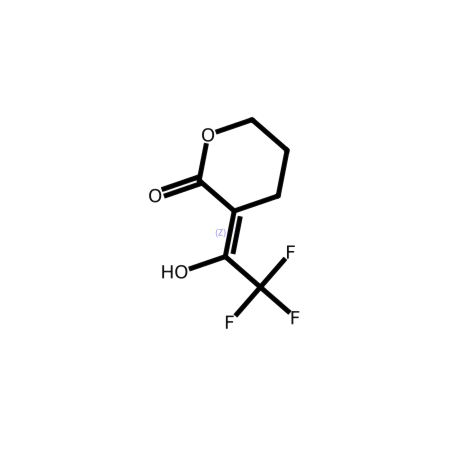 O=C1OCCC/C1=C(/O)C(F)(F)F